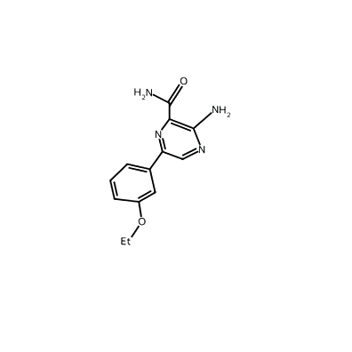 CCOc1cccc(-c2cnc(N)c(C(N)=O)n2)c1